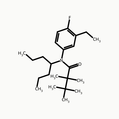 CCCC(CCC)N(C(=O)C(C)(C)C(C)(C)C)c1ccc(F)c(CC)c1